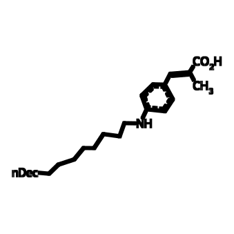 CCCCCCCCCCCCCCCCCCNc1ccc(C=C(C)C(=O)O)cc1